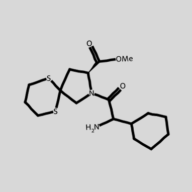 COC(=O)[C@@H]1CC2(CN1C(=O)C(N)C1CCCCC1)SCCCS2